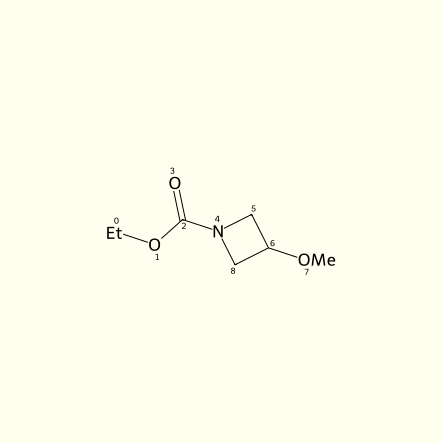 CCOC(=O)N1CC(OC)C1